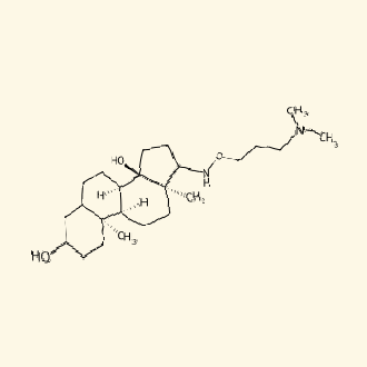 CN(C)CCCONC1CC[C@@]2(O)[C@@H]3CCC4CC(O)CC[C@]4(C)[C@@H]3CC[C@]12C